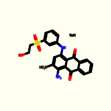 Nc1c(S(=O)(=O)O)cc(Nc2cccc(S(=O)(=O)CCO)c2)c2c1C(=O)c1ccccc1C2=O.[NaH]